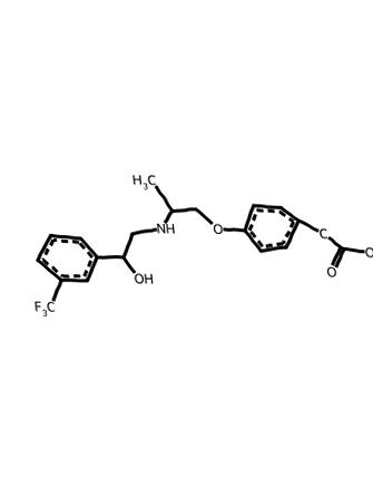 COC(=O)Cc1ccc(OCC(C)NCC(O)c2cccc(C(F)(F)F)c2)cc1